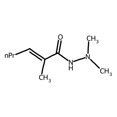 CCC/C=C(\C)C(=O)NN(C)C